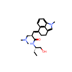 CC[C@@H](CO)NC(=O)[C@H](/C=C1\CCc2cn(C)c3cccc1c23)CN(C)C